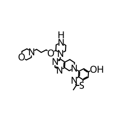 Cc1nc2c(N3CCc4c(ncnc4N4CCNCC4OCCCN4CCOCC4)C3)cc(O)cc2s1